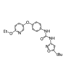 CCOc1ccc(Oc2ccc(NC(=O)Nc3cc(C(C)(C)C)on3)cc2)cn1